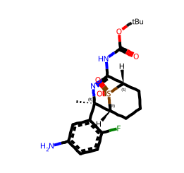 CC(C)(C)OC(=O)NC1=N[C@](C)(c2cc(N)ccc2F)[C@H]2CCC[C@@H]1S2(=O)=O